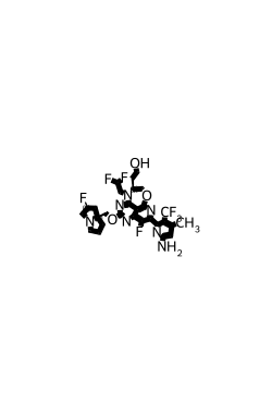 Cc1cc(N)nc(-c2nc3c4c(nc(OC[C@@]56CCCN5C[C@H](F)C6)nc4c2F)N(CC(F)F)[C@@H](CCO)CO3)c1C(F)(F)F